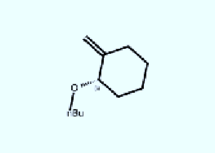 C=C1CCCC[C@@H]1OCCCC